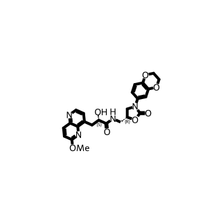 COc1ccc2nccc(C[C@H](O)C(=O)NC[C@@H]3CN(c4ccc5c(c4)OCCO5)C(=O)O3)c2n1